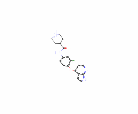 O=C(Nc1ccc(Oc2ccnc3[nH]ccc23)c(F)c1)C1CCNCC1